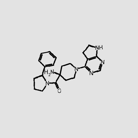 NC1(C(=O)N2CCCC2c2ccccc2)CCN(c2ncnc3c2CCN3)CC1